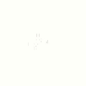 O.O.[CaH2].[Ti]